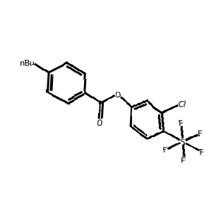 CCCCc1ccc(C(=O)Oc2ccc(S(F)(F)(F)(F)F)c(Cl)c2)cc1